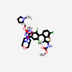 CN1CCC[C@H]1COc1nc(N2C3COCC2CN(C(=O)OC(C)(C)C)C3)c2cc(Cl)c(-c3ccc(F)c4sc(NC(=O)OC(C)(C)C)c(C#N)c34)c(F)c2n1